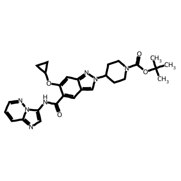 CC(C)(C)OC(=O)N1CCC(n2cc3cc(C(=O)Nc4cnc5cccnn45)c(OC4CC4)cc3n2)CC1